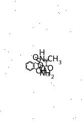 Cc1ccccc1S(=O)(=O)N[C@@H](C)C(=O)ON